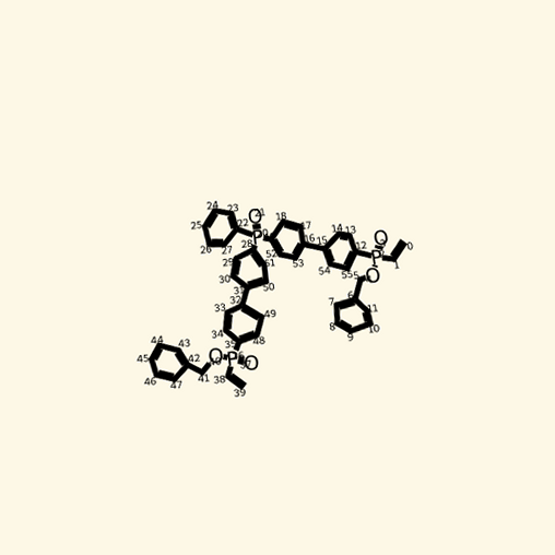 C=CP(=O)(OCc1ccccc1)c1ccc(-c2ccc(P(=O)(c3ccccc3)c3ccc(-c4ccc(P(=O)(C=C)OCc5ccccc5)cc4)cc3)cc2)cc1